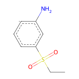 CCS(=O)(=O)c1cc[c]c(N)c1